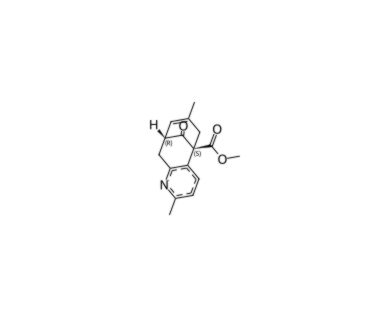 COC(=O)[C@@]12CC(C)=C[C@@H](Cc3nc(C)ccc31)C2=O